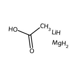 CC(=O)O.[LiH].[MgH2]